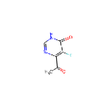 CC(=O)c1nc[nH]c(=O)c1F